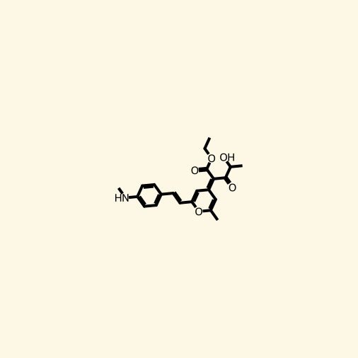 CCOC(=O)/C(C(=O)C(C)O)=C1/C=C(C)OC(C=Cc2ccc(NC)cc2)=C1